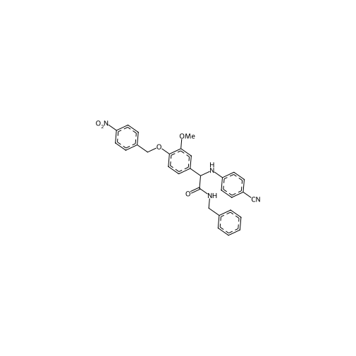 COc1cc(C(Nc2ccc(C#N)cc2)C(=O)NCc2ccccc2)ccc1OCc1ccc([N+](=O)[O-])cc1